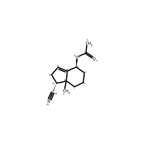 CC(=O)O[C@H]1CCCC2(C)C1=CC[C@H]2C#N